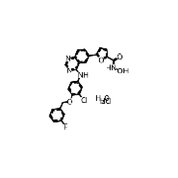 Cl.O.O=C(NO)c1ccc(-c2ccc3ncnc(Nc4ccc(OCc5cccc(F)c5)c(Cl)c4)c3c2)o1